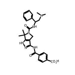 CN(C)CC(NC(=O)N1Cc2c(NC(=O)c3ccc(C(=O)O)cc3)n[nH]c2C1(C)C)c1ccccc1